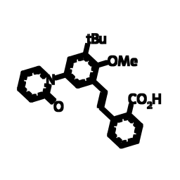 COc1c(C=Cc2ccccc2C(=O)O)cc(-n2ccccc2=O)cc1C(C)(C)C